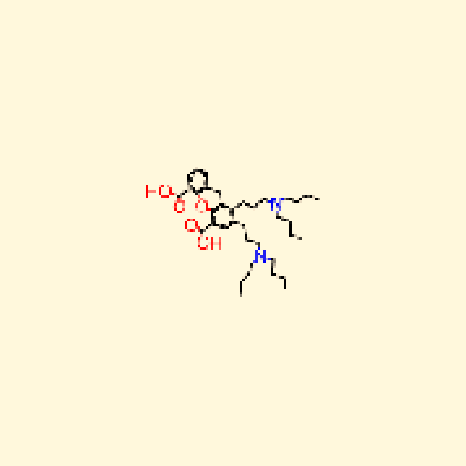 CCCCN(CCCC)CCCc1cc(C(=O)O)c2c(c1CCCN(CCCC)CCCC)Cc1cccc(C(=O)O)c1O2